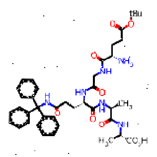 C[C@H](NC(=O)[C@H](C)NC(=O)[C@H](CCC(=O)NC(c1ccccc1)(c1ccccc1)c1ccccc1)NC(=O)CNC(=O)[C@@H](N)CCC(=O)OC(C)(C)C)C(=O)O